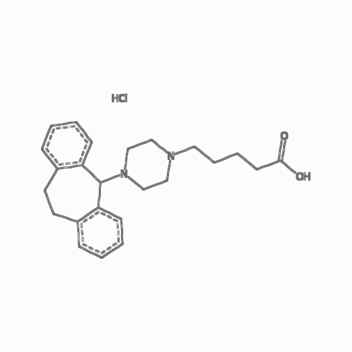 Cl.O=C(O)CCCCN1CCN(C2c3ccccc3CCc3ccccc32)CC1